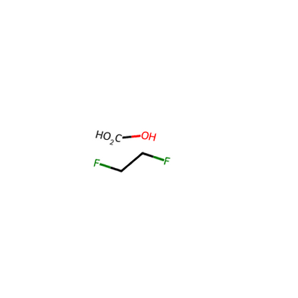 FCCF.O=C(O)O